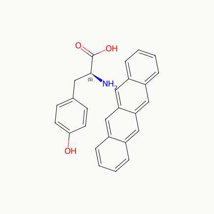 N[C@@H](Cc1ccc(O)cc1)C(=O)O.c1ccc2cc3cc4ccccc4cc3cc2c1